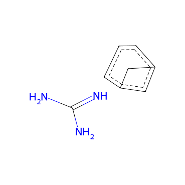 N=C(N)N.c1cc2cc(c1)C2